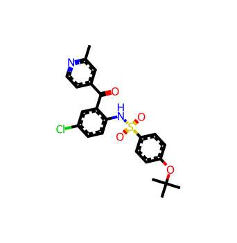 Cc1cc(C(=O)c2cc(Cl)ccc2NS(=O)(=O)c2ccc(OC(C)(C)C)cc2)ccn1